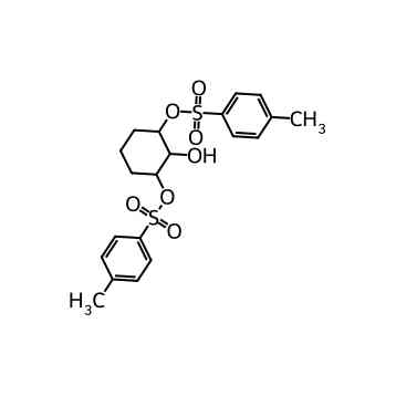 Cc1ccc(S(=O)(=O)OC2CCCC(OS(=O)(=O)c3ccc(C)cc3)C2O)cc1